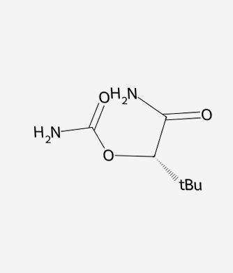 CC(C)(C)[C@H](OC(N)=O)C(N)=O